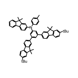 Cc1ccc(N(c2cc(-c3ccc4c(c3)C(C)(C)c3cc(C(C)(C)C)ccc3-4)cc(-c3ccc4c(c3)C(C)(C)c3cc(C(C)(C)C)ccc3-4)c2)c2ccc3c(c2)C(C)(C)c2ccccc2-3)cc1